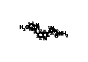 Cc1ccc2nnc(Cc3ccc4ncc(-c5cnn(CC(N)=O)c5)cc4c3)n2n1